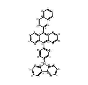 c1ccc2cc(-c3c4ccccc4c(-c4ccc(-n5c6ccccc6c6ccccc65)cn4)c4ccccc34)ccc2c1